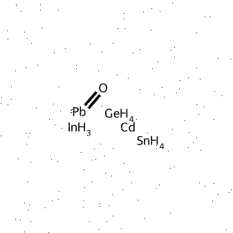 [Cd].[GeH4].[InH3].[O]=[Pb].[SnH4]